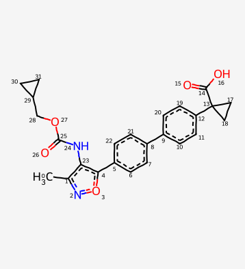 Cc1noc(-c2ccc(-c3ccc(C4(C(=O)O)CC4)cc3)cc2)c1NC(=O)OCC1CC1